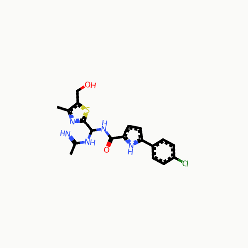 CC(=N)NC(NC(=O)c1ccc(-c2ccc(Cl)cc2)[nH]1)c1nc(C)c(CO)s1